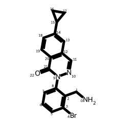 NCc1c(Br)cccc1-n1ncc2cc(C3CC3)ccc2c1=O